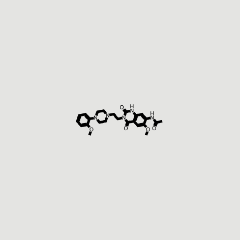 COc1cc2c(=O)n(CCN3CCN(c4ccccc4OC)CC3)c(=O)[nH]c2cc1NC(C)=O